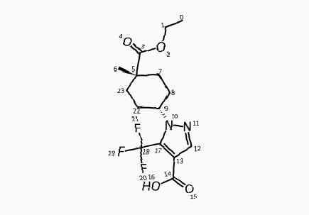 CCOC(=O)[C@]1(C)CC[C@H](n2ncc(C(=O)O)c2C(F)(F)F)CC1